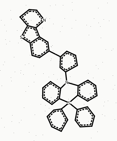 c1ccc(S2(c3ccccc3)c3ccccc3N(c3cccc(-c4ccc5sc6cccnc6c5c4)c3)c3ccccc32)cc1